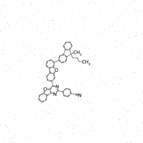 CCCCC1(C)c2ccccc2-c2cc(-c3cccc4c3oc3cc(-c5nc(-c6ccc(C#N)cc6)nc6c5oc5ccccc56)ccc34)ccc21